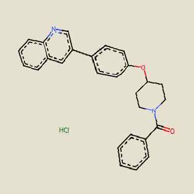 Cl.O=C(c1ccccc1)N1CCC(Oc2ccc(-c3cnc4ccccc4c3)cc2)CC1